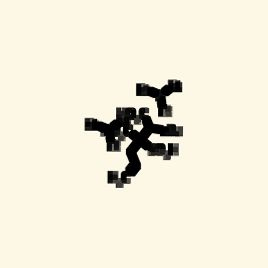 C=CCC(C(=O)O)(C(CCCC)C(=O)O)S(=O)(=O)O.CCN(CC)CC.CCN(CC)CC